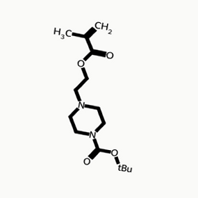 C=C(C)C(=O)OCCN1CCN(C(=O)OC(C)(C)C)CC1